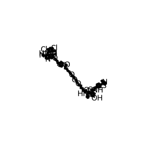 COc1cc(Nc2c(C#N)cnc3cc(OCCCN4CCN(C(=O)CCCCCOCCOCCOCCCCCC(=O)N[C@H](C(=O)N5C[C@H](O)C[C@H]5C(=O)NCc5ccc(-c6scnc6C)cc5)C(C)(C)C)CC4)c(OC)cc23)c(Cl)cc1Cl